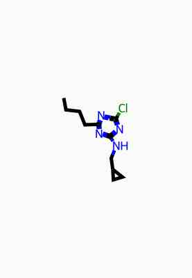 CCCCc1nc(Cl)nc(NCC2CC2)n1